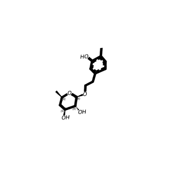 Cc1ccc(CCO[C@@H]2O[C@H](C)C[C@H](O)[C@H]2O)cc1O